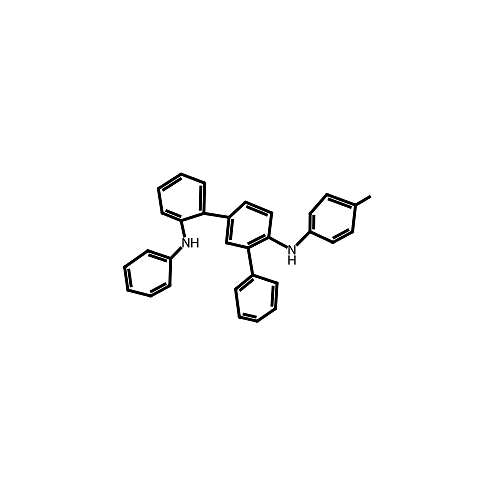 Cc1ccc(Nc2ccc(-c3ccccc3Nc3ccccc3)cc2-c2ccccc2)cc1